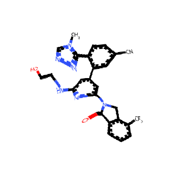 Cn1cnnc1-c1ccc(C#N)cc1-c1cc(NCCO)nc(N2Cc3c(cccc3C(F)(F)F)C2=O)c1